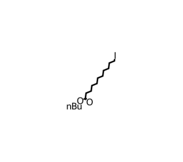 CCCCOC(=O)CCCCCCCCCCI